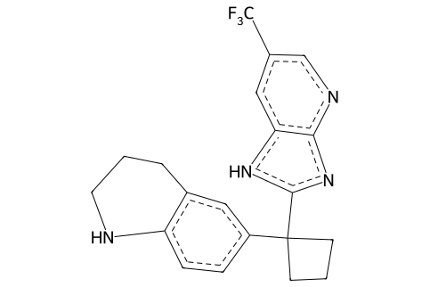 FC(F)(F)c1cnc2nc(C3(c4ccc5c(c4)CCCN5)CCC3)[nH]c2c1